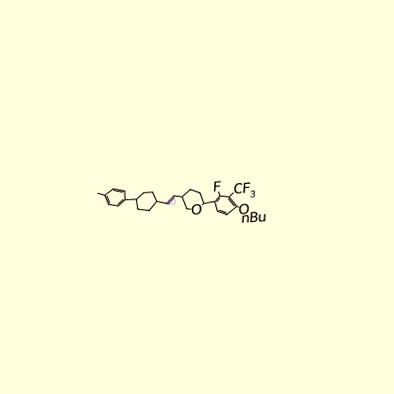 CCCCOc1ccc(C2CCC(/C=C/C3CCC(c4ccc(C)cc4)CC3)CO2)c(F)c1C(F)(F)F